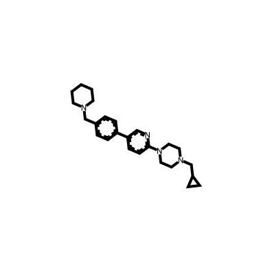 c1cc(-c2ccc(N3CCN(CC4CC4)CC3)nc2)ccc1CN1CCCCC1